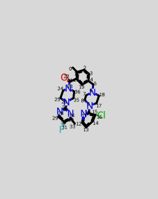 Cc1ccc(CN2CCN(c3ncccc3Cl)CC2)cc1C(=O)N1CCN(c2ncc(F)c(C)n2)CC1